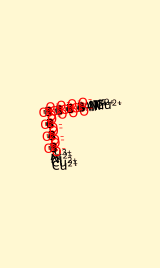 [Al+3].[Al+3].[Al+3].[Cu+2].[Cu+2].[Cu+2].[Ni+2].[Ni+2].[Ni+2].[O-]B([O-])[O-].[O-]B([O-])[O-].[O-]B([O-])[O-].[O-]B([O-])[O-].[O-]B([O-])[O-].[O-]B([O-])[O-].[O-]B([O-])[O-]